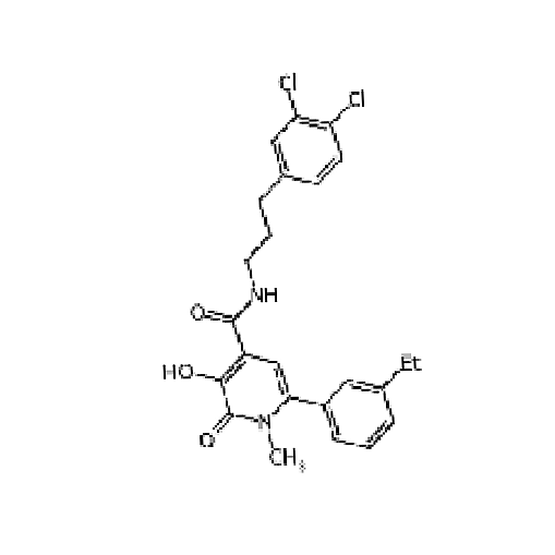 CCc1cccc(-c2cc(C(=O)NCCCc3ccc(Cl)c(Cl)c3)c(O)c(=O)n2C)c1